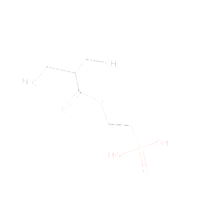 CCC(CC)C(=O)OCCP(=O)(O)O